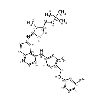 CN1C(=Nc2ccc3ncnc(Nc4ccc(COc5cccc(F)c5)c(Cl)c4)c3c2)OC[C@@H]1COC(C)(C)C